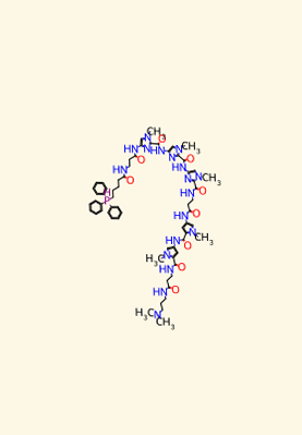 CN(C)CCCNC(=O)CCNC(=O)c1cc(NC(=O)c2cc(NC(=O)CCNC(=O)c3nc(NC(=O)c4nc(NC(=O)c5nc(NC(=O)CCNC(=O)CCCC[PH](c6ccccc6)(c6ccccc6)c6ccccc6)cn5C)cn4C)cn3C)cn2C)cn1C